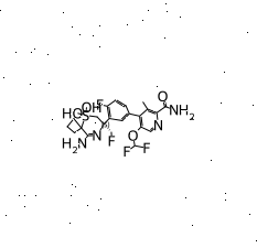 Cc1c(C(N)=O)ncc(OC(F)F)c1-c1ccc(F)c([C@]2(CF)CS(O)(O)C3(CCC3)C(N)=N2)c1